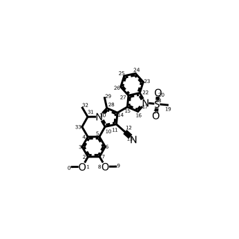 COc1cc2c(cc1OC)-c1c(C#N)c(-c3cn(S(C)(=O)=O)c4ccccc34)c(C)n1C(C)C2